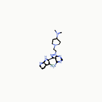 CN(C)C1CCN(CCn2nc(-c3[nH]c4ncccc4c3Cl)c3c(N)ncnc32)CC1